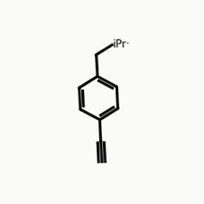 C#Cc1ccc(C[C](C)C)cc1